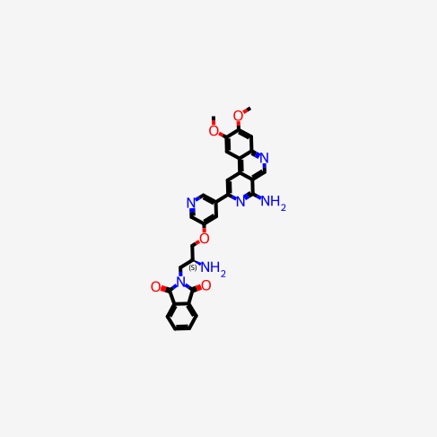 COc1cc2ncc3c(N)nc(-c4cncc(OC[C@@H](N)CN5C(=O)c6ccccc6C5=O)c4)cc3c2cc1OC